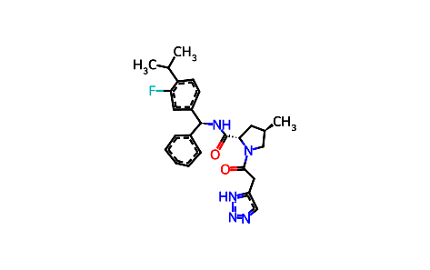 CC(C)c1ccc([C@@H](NC(=O)[C@@H]2C[C@@H](C)CN2C(=O)Cc2cnn[nH]2)c2ccccc2)cc1F